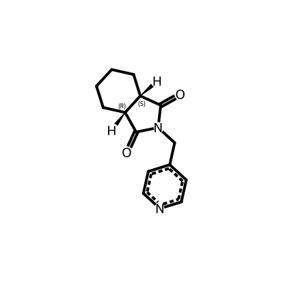 O=C1[C@H]2CCCC[C@H]2C(=O)N1Cc1ccncc1